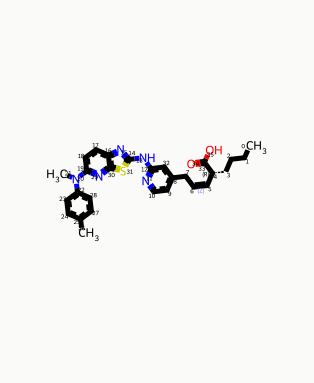 CCCC[C@H](/C=C\Cc1ccnc(Nc2nc3ccc(N(C)c4ccc(C)cc4)nc3s2)c1)C(=O)O